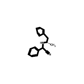 C[C@@H](Cc1ccccc1)NC(C#N)c1ccccc1